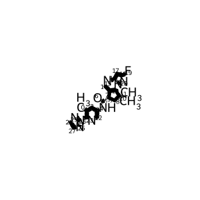 Cc1cc(NC(=O)[C@H]2CC(C)(C)c3c2cnc2cc(F)nn32)cnc1-n1nccn1